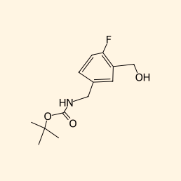 CC(C)(C)OC(=O)NCc1ccc(F)c(CO)c1